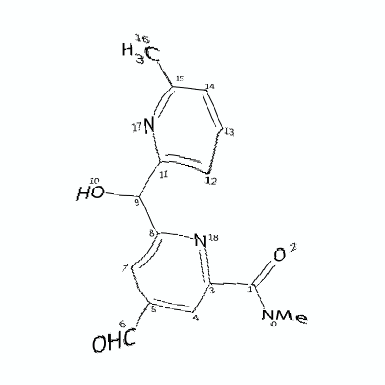 CNC(=O)c1cc(C=O)cc(C(O)c2cccc(C)n2)n1